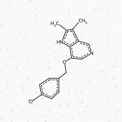 Cc1[nH]c2c(OCc3ccc(Cl)cc3)cncc2c1C